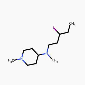 CCC(I)CCN(C)C1CCN(C)CC1